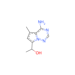 Cc1cc(C(C)O)n2ncnc(N)c12